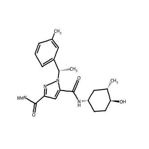 CNC(=O)c1cc(C(=O)N[C@H]2CC[C@H](O)[C@@H](C)C2)n([C@@H](C)c2cccc(C)c2)n1